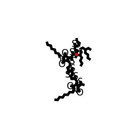 CCCCCCCCN1C(=O)c2c(C)sc(-c3cc4sc5cc(-c6sc(-c7cc8c(s7)-c7sc(C)cc7[Si]8(CC(CC)CCCC)CC(CC)CCCC)c7c6C(=O)N(CCCCCCCC)C7=O)sc5c4s3)c2C1=O